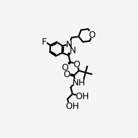 CC(C)(C)C(OC(=O)c1nn(CC2CCOCC2)c2cc(F)ccc12)C(=O)NCC(O)CO